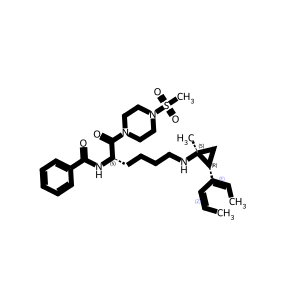 C/C=C\C(=C/C)[C@H]1C[C@]1(C)NCCCC[C@H](NC(=O)c1ccccc1)C(=O)N1CCN(S(C)(=O)=O)CC1